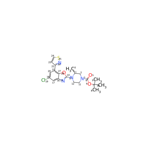 C[C@H]1CN(C(=O)OC(C)(C)C)CCN1c1nc2cc(Cl)cc(-c3ccsn3)c2o1